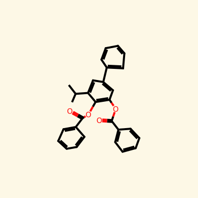 CC(C)c1cc(-c2ccccc2)cc(OC(=O)c2ccccc2)c1OC(=O)c1ccccc1